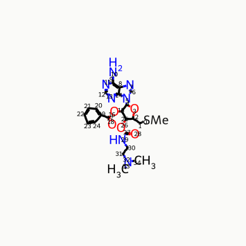 CSCC1OC(n2cnc3c(N)ncnc32)C(OC(=O)c2ccccc2)C1OC(=O)NCCN(C)C